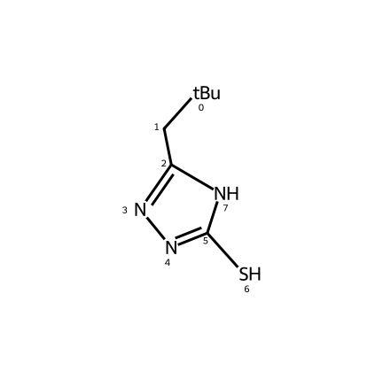 CC(C)(C)Cc1nnc(S)[nH]1